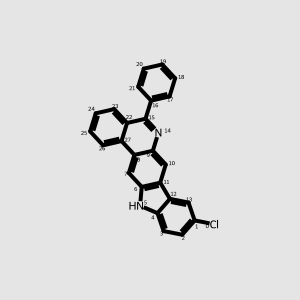 Clc1ccc2[nH]c3cc4c(cc3c2c1)nc(-c1ccccc1)c1ccccc14